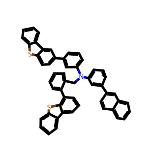 c1cc(-c2ccc3ccccc3c2)cc(N(Cc2ccccc2-c2cccc3c2sc2ccccc23)c2cccc(-c3ccc4sc5ccccc5c4c3)c2)c1